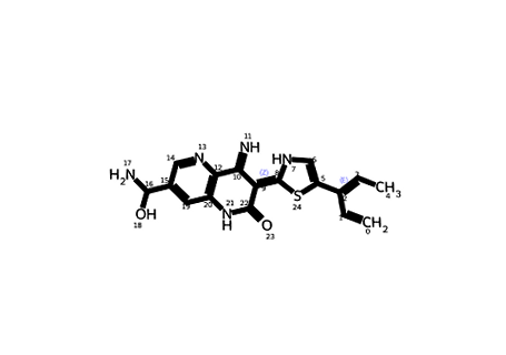 C=C/C(=C\C)C1=CN/C(=C2\C(=N)c3ncc(C(N)O)cc3NC2=O)S1